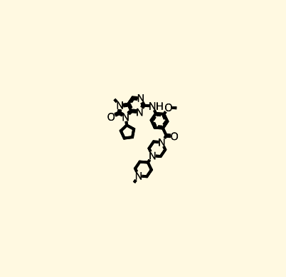 COc1cc(C(=O)N2CCN(C3CCN(C)CC3)CC2)ccc1Nc1ncc2c(n1)n(C1CCCC1)c(=O)n2C